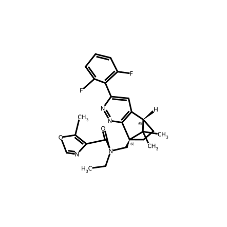 CCN(C[C@@]12CC[C@@H](c3cc(-c4c(F)cccc4F)nnc31)C2(C)C)C(=O)c1ncoc1C